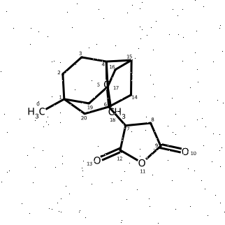 CC12CCC34CC(C5CC(=O)OC5=O)(CC3CC4(C)C1)C2